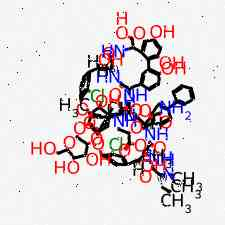 CN[C@H](CC(C)C)C(=O)NC1C(=O)N[C@@H](CC(N)=O)C(=O)N[C@H]2C(=O)NC3C(=O)N[C@H](C(=O)NC(C(=O)O)c4cc(O)cc(O)c4-c4cc3ccc4O)[C@H](O)c3ccc(c(Cl)c3)Oc3cc2cc(c3OC2OC(CO)C(O)C(O)C2OC2CC(C)(NCC(OCc3ccc(-c4ccccc4)cc3)C(=O)OC)C(O)C(C)O2)Oc2ccc(cc2Cl)[C@H]1O